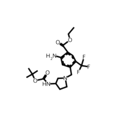 CCOC(=O)c1cc(C(F)(F)F)c(CN2CCC(NC(=O)OC(C)(C)C)C2)cc1N